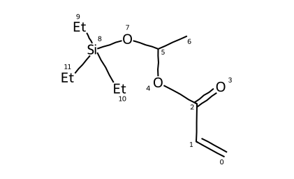 C=CC(=O)OC(C)O[Si](CC)(CC)CC